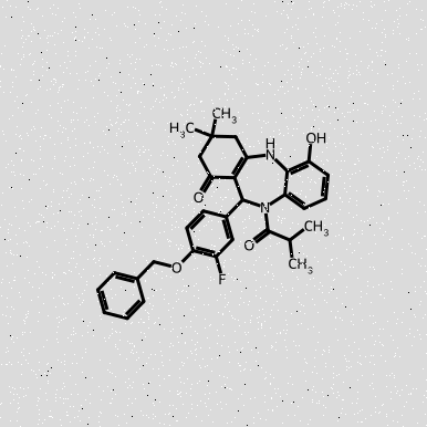 CC(C)C(=O)N1c2cccc(O)c2NC2=C(C(=O)CC(C)(C)C2)C1c1ccc(OCc2ccccc2)c(F)c1